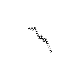 CCCCCCCCCCc1cnc(-c2ccc(OCC(F)CCCC(C)CCCCC)cc2)nc1